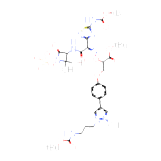 C[n+]1cc(-c2ccc(OCC(O/N=C(\C(=O)NC3C(=O)N(OS(=O)(=O)[O-])C3(C)C)c3nsc(NC(=O)OC(C)(C)C)n3)C(=O)OC(C)(C)C)cc2)cn1CCCNC(=O)OC(C)(C)C